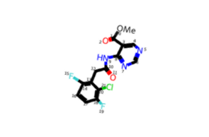 COC(=O)c1cncnc1NC(=O)Cc1c(F)ccc(F)c1Cl